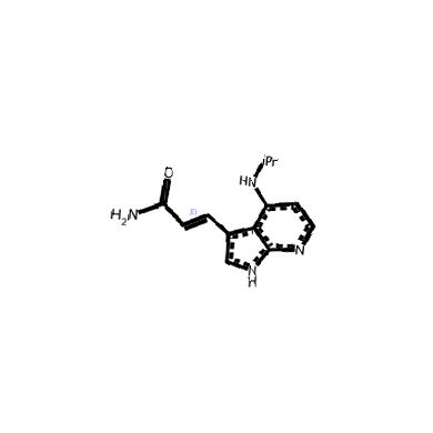 CC(C)Nc1ccnc2[nH]cc(/C=C/C(N)=O)c12